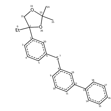 CCC1(c2cccc(Sc3cccc(-c4ccccc4)c3)c2)COC(C)(C)O1